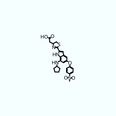 CS(=O)(=O)c1ccc(Oc2cc(NC3CCCC3)c3[nH]c(C4=NC(CC(=O)O)CS4)cc3c2)cc1